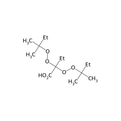 CCC(C)(C)OOC(CC)(OOC(C)(C)CC)C(=O)O